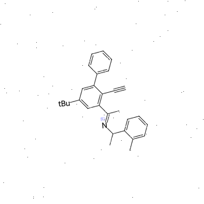 C#Cc1c(/C(C)=N/C(C)c2ccccc2C)cc(C(C)(C)C)cc1-c1ccccc1